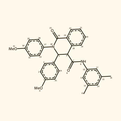 COc1ccc(C2C(C(=O)Nc3cc(C)cc(C)c3)c3ccccc3C(=O)N2c2ccc(OC)cc2)cc1